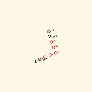 [Mn+2].[Mn+2].[O-2].[O-2].[O-2].[O-2].[O-2].[Tb+3].[Tb+3]